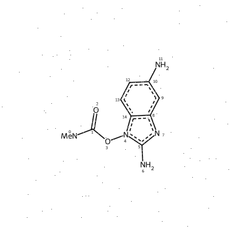 CNC(=O)On1c(N)nc2cc(N)ccc21